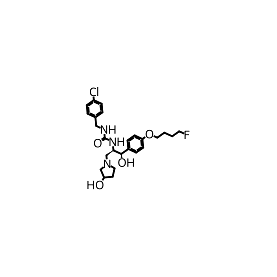 O=C(NCc1ccc(Cl)cc1)N[C@H](CN1CCC(O)C1)[C@H](O)c1ccc(OCCCCF)cc1